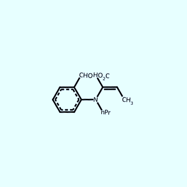 C/C=C(/C(=O)O)N(CCC)c1ccccc1C=O